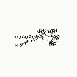 COCCOCCOCCOCCOCCOCCC1(CCOCCOCCOCCOCCOCCOC)C=C(C)c2cc3c(/C=C/C=C/C=C4\N(CCCS(=O)(=O)O)c5ccc([SH](=O)=O)cc5C4(C)CCCC(=O)ON4C(=O)CCC4=O)cc(C(C)(C)C)[o+]c3cc2N1CCCS(=O)(=O)O